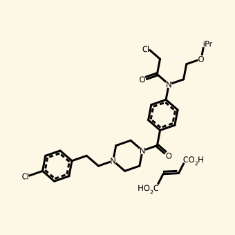 CC(C)OCCN(C(=O)CCl)c1ccc(C(=O)N2CCN(CCc3ccc(Cl)cc3)CC2)cc1.O=C(O)/C=C/C(=O)O